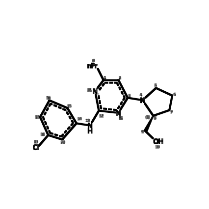 CCCc1cc(N2CCC[C@H]2CO)nc(Nc2cccc(Cl)c2)n1